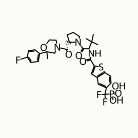 CC1(c2ccc(F)cc2)CN(C(=O)[C@@H]2CCCN2C(=O)C(NC(=O)c2cc3cc(C(F)(F)P(=O)(O)O)ccc3s2)C(C)(C)C)CCO1